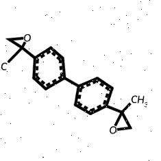 CC1(c2ccc(-c3ccc(C4(C)CO4)cc3)cc2)CO1